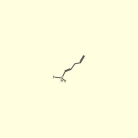 C=CCC=C[SiH](F)F